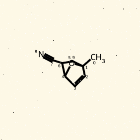 CC12C=CC(O1)C(C#N)C2